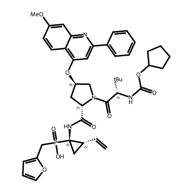 C=C[C@@H]1C[C@]1(NC(=O)[C@@H]1C[C@@H](Oc2cc(-c3ccccc3)nc3cc(OC)ccc23)CN1C(=O)[C@@H](NC(=O)OC1CCCC1)C(C)(C)C)P(=O)(O)Cc1ccco1